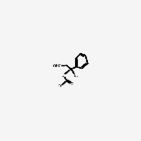 CCC(=O)OC(CC)(CC=O)c1ccccc1